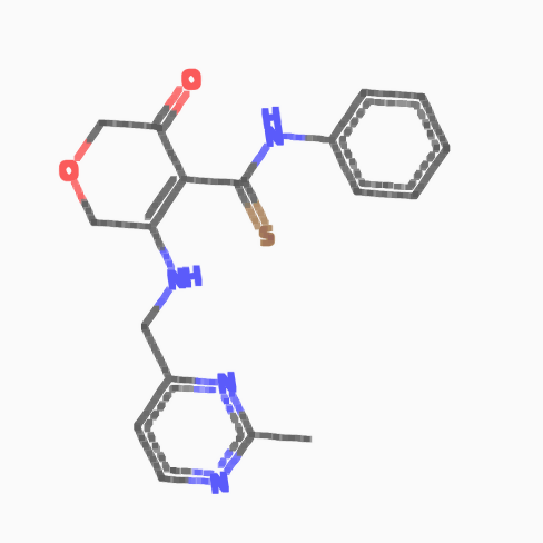 Cc1nccc(CNC2=C(C(=S)Nc3ccccc3)C(=O)COC2)n1